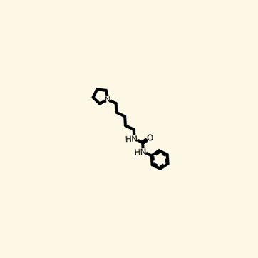 O=C(NCCCCCN1C[CH]CC1)Nc1ccccc1